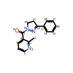 Cc1ncccc1C(=O)N1CCC(c2ccccc2)=N1